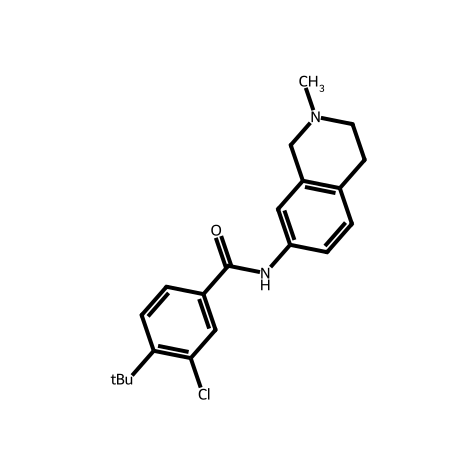 CN1CCc2ccc(NC(=O)c3ccc(C(C)(C)C)c(Cl)c3)cc2C1